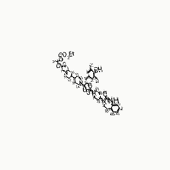 CCOC(=O)OC(C)OC(=O)CN1CCC(C2CCN(C(=O)[C@@H](Cc3cc(C)c(O)c(C)c3)OC(=O)N3CCC(N4CCc5ccccc5NC4=O)CC3)CC2)CC1